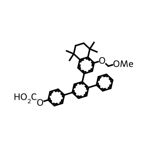 COCOc1cc(-c2cc(-c3ccc(OC(=O)O)cc3)ccc2-c2ccccc2)cc2c1C(C)(C)CCC2(C)C